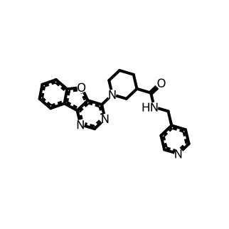 O=C(NCc1ccncc1)C1CCCN(c2ncnc3c2oc2ccccc23)C1